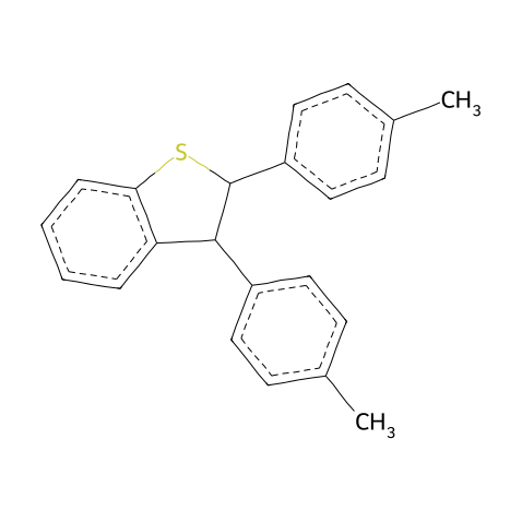 Cc1ccc(C2Sc3ccccc3C2c2ccc(C)cc2)cc1